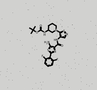 CC(C)(C)OC(=O)NC1CCCN(c2sncc2NC(=O)c2nc(-c3c(F)cccc3F)sc2N)C1